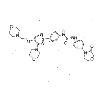 O=C(Nc1ccc(-c2ncc(OCCN3CCOCC3)c(N3CCOCC3)n2)cc1)Nc1ccc(N2CCOCC2=O)cc1